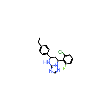 CCc1ccc([C@H]2C[C@@H](c3c(F)cccc3Cl)n3ncnc3N2)cc1